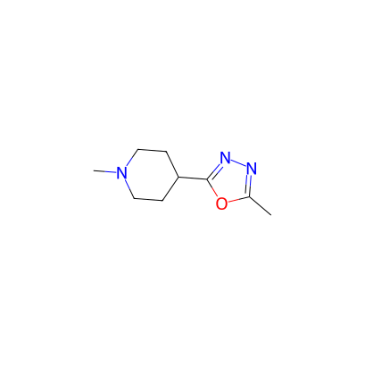 Cc1nnc(C2CCN(C)CC2)o1